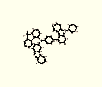 CC1(C)c2ccccc2-c2c(N(c3ccc(-c4cccc5c4c4cnccc4n5-c4ccccc4)cc3)c3ccc4oc5ccccc5c4c3)cccc21